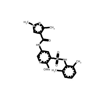 COc1ncc(NC(=O)c2cn(C)nc2C)cc1S(=O)(=O)Nc1c(C)cccc1C